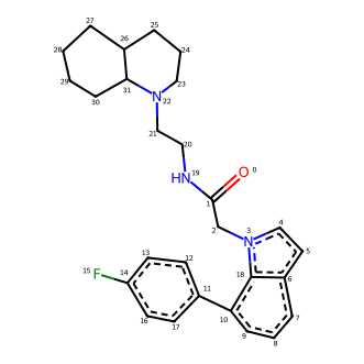 O=C(Cn1ccc2cccc(-c3ccc(F)cc3)c21)NCCN1CCCC2CCCCC21